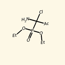 CCOP(=O)(OCC)C(N)(Cl)C(C)=O